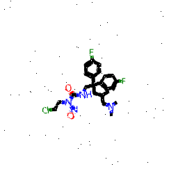 CC(CN(C)C)CC(CNC(=O)N(CCCl)N=O)(c1ccc(F)cc1)c1ccc(F)cc1